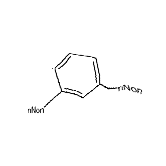 CCCCCCCCCc1[c]ccc(CCCCCCCCC)c1